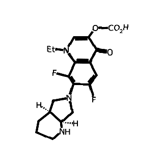 CCn1cc(OC(=O)O)c(=O)c2cc(F)c(N3C[C@@H]4CCCN[C@@H]4C3)c(F)c21